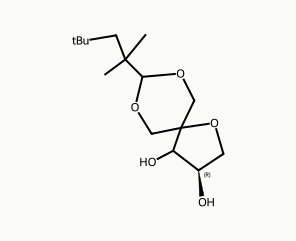 CC(C)(C)CC(C)(C)C1OCC2(CO1)OC[C@@H](O)C2O